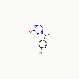 CC1C(=O)NCCN1C(C)c1ccc(Br)cc1